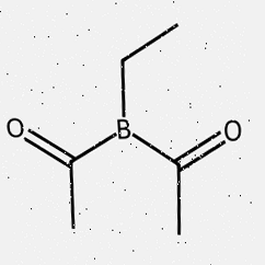 CCB(C(C)=O)C(C)=O